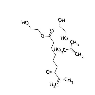 C=C(C)C(=O)CCCCCC(=O)OCCO.C=C(C)C(=O)O.OCCO